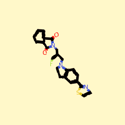 O=C1c2ccccc2C(=O)N1CC(=CF)CN1CCc2cc(-c3nccs3)ccc21